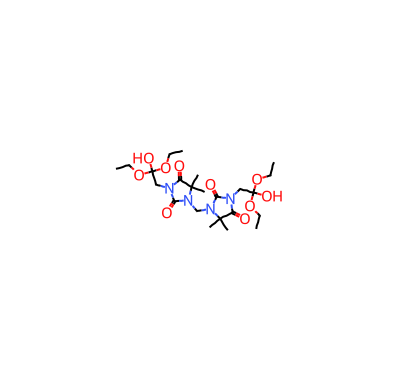 CCOC(O)(CN1C(=O)N(CN2C(=O)N(CC(O)(OCC)OCC)C(=O)C2(C)C)C(C)(C)C1=O)OCC